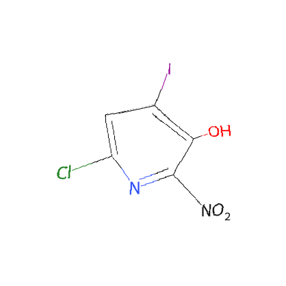 O=[N+]([O-])c1nc(Cl)cc(I)c1O